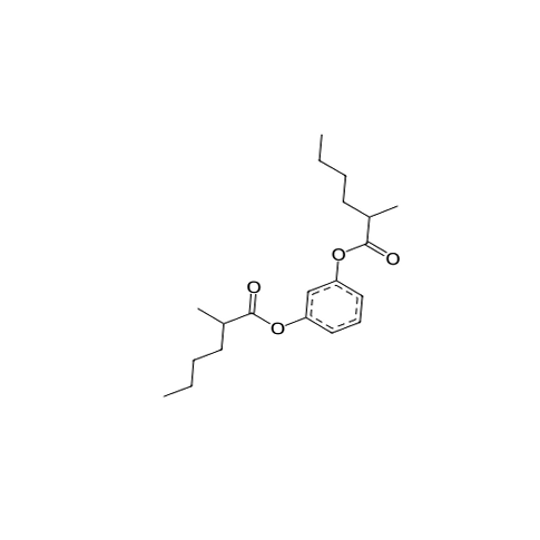 CCCCC(C)C(=O)Oc1cccc(OC(=O)C(C)CCCC)c1